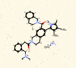 CCCCc1c(CCCC)c(-c2cc3c(cc2C(=O)N2Cc4ccccc4C[C@H]2C)CN(C(=O)Cc2ccccc2CN(C)C)CC3)n(C)c1C.NC=O